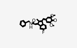 COC1=CC(=CC2=C(C)C(=CC(=O)NCc3ccccc3)c3cc(F)ccc32)C=C(OC)C1=O